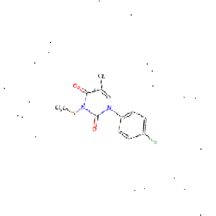 N#Cc1cn(-c2ccc(F)cc2)c(=O)n(SC(Cl)(Cl)Cl)c1=O